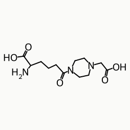 NC(CCCC(=O)N1CCN(CC(=O)O)CC1)C(=O)O